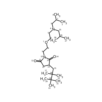 CC(C)CN(CCOCCN1C(=O)CC(CC(C)(C)C(C)(C)C)C1=O)CC(C)C